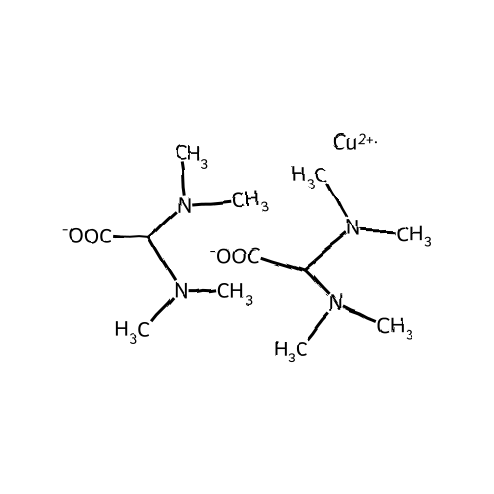 CN(C)C(C(=O)[O-])N(C)C.CN(C)C(C(=O)[O-])N(C)C.[Cu+2]